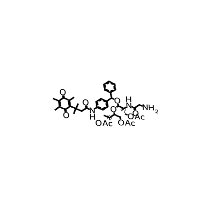 CC(=O)OCC(OC(OC(c1ccccc1)c1ccc(NC(=O)CC(C)(C)C2=C(C)C(=O)C(C)=C(C)C2=O)cc1)[C@@H](COC(C)=O)NC(=O)CN)[C@H](C)OC(C)=O